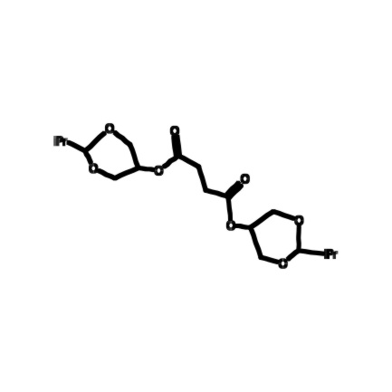 CC(C)C1OCC(OC(=O)CCC(=O)OC2COC(C(C)C)OC2)CO1